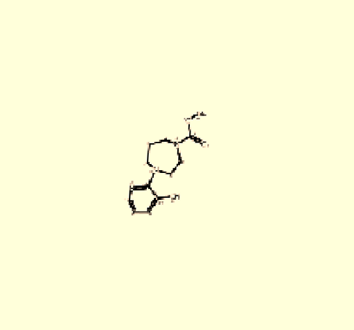 CC(C)(C)OC(=O)N1CCCN(c2ncccc2C#N)CC1